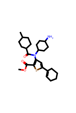 COC(=O)c1sc(C2=CCCCC2)cc1N(C(=O)C1CCC(C)CC1)C1CCC(N)CC1